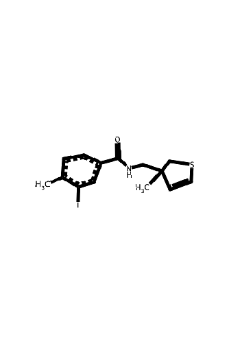 Cc1ccc(C(=O)NCC2(C)C=CSC2)cc1I